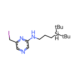 CC(C)(C)[SiH](CCCNc1cncc(CI)n1)C(C)(C)C